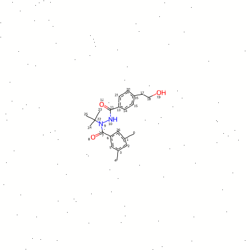 Cc1cc(C)cc(C(=O)N(NC(=O)c2ccc(CCO)cc2)C(C)(C)C)c1